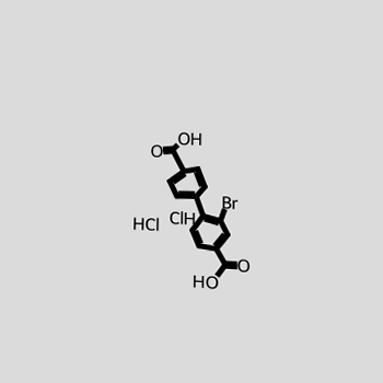 Cl.Cl.O=C(O)c1ccc(-c2ccc(C(=O)O)cc2Br)cc1